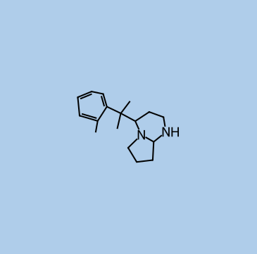 Cc1ccccc1C(C)(C)C1CCNC2CCCN21